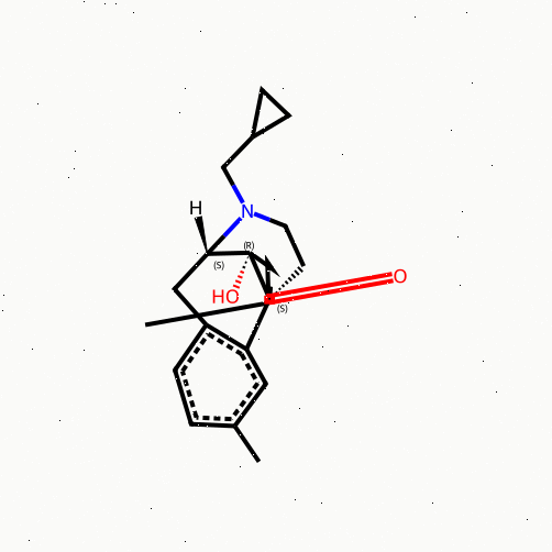 Cc1ccc2c(c1)[C@@]13CCN(CC4CC4)[C@@H](C2)[C@@]1(O)CCC(=O)C3